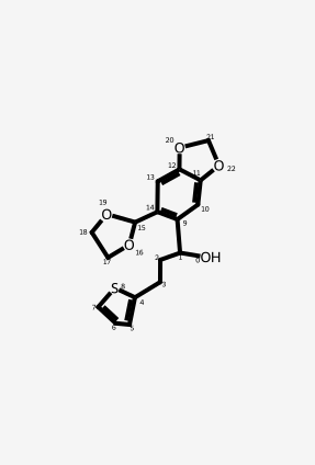 OC(CCc1cccs1)c1cc2c(cc1C1OCCO1)OCO2